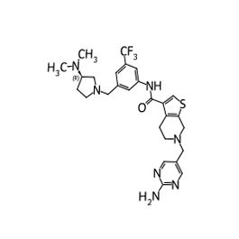 CN(C)[C@@H]1CCN(Cc2cc(NC(=O)c3csc4c3CCN(Cc3cnc(N)nc3)C4)cc(C(F)(F)F)c2)C1